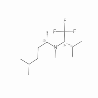 CC(C)CC[C@H](C)N(C)[C@@H](C(C)C)C(F)(F)F